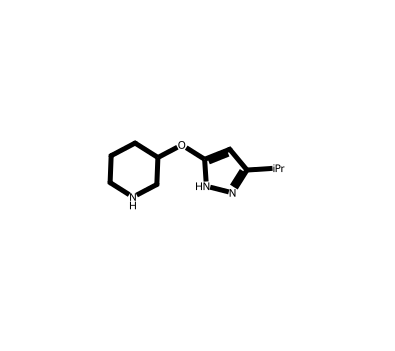 CC(C)c1cc(OC2CCCNC2)[nH]n1